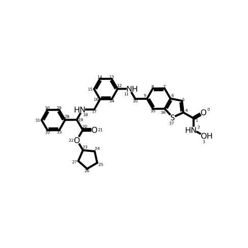 O=C(NO)c1cc2ccc(CNc3cccc(CNC(C(=O)OC4CCCC4)c4ccccc4)c3)cc2s1